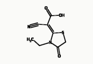 CCN1C(=O)CSC1=C(C#N)C(=O)O